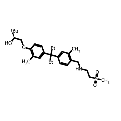 CCC(CC)(c1ccc(CNCCS(C)(=O)=O)c(C)c1)c1ccc(OC[C@@H](O)C(C)(C)C)c(C)c1